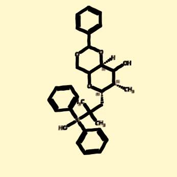 C[C@H]1C(O)[C@@H]2OC(c3ccccc3)OCC2O[C@H]1CC(C)(C)[Si](O)(c1ccccc1)c1ccccc1